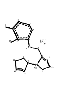 Cc1cccc(OCC2=NCCN2C2C=CCC2)c1C.Cl